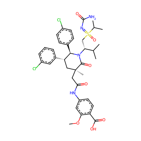 COc1cc(NC(=O)C[C@@]2(C)C[C@H](c3cccc(Cl)c3)[C@@H](c3ccc(Cl)cc3)N([C@H](CS(=O)(=NC(N)=O)C(C)C)C(C)C)C2=O)ccc1C(=O)O